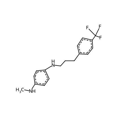 CNc1ccc(NCCCc2ccc(C(F)(F)F)cc2)cc1